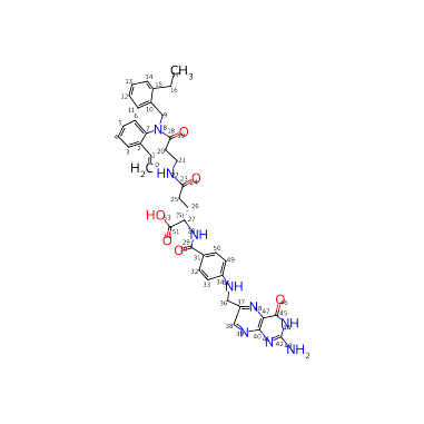 C=Cc1ccccc1N(Cc1ccccc1CC)C(=O)CCNC(=O)CC[C@H](NC(=O)c1ccc(NCc2cnc3nc(N)[nH]c(=O)c3n2)cc1)C(=O)O